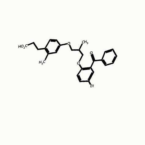 CCc1ccc(OCC(C)COc2ccc(CCC(=O)O)c(C)c2)c(C(=O)c2ccccc2)c1